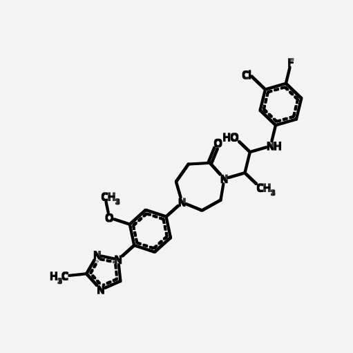 COc1cc(N2CCC(=O)N(C(C)C(O)Nc3ccc(F)c(Cl)c3)CC2)ccc1-n1cnc(C)n1